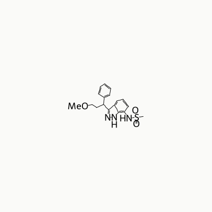 COCCC(c1ccccc1)c1n[nH]c2c(NS(C)(=O)=O)cccc12